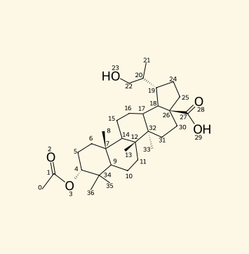 CC(=O)O[C@@H]1CC[C@@]2(C)C(CC[C@]3(C)C2CCC2C4[C@H](C(C)CO)CC[C@]4(C(=O)O)CC[C@]23C)C1(C)C